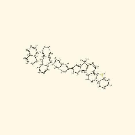 CC1(C)c2cc(-c3ccc4cc(-c5c6ccccc6c(-c6cccc7ccccc67)c6ccccc56)ccc4c3)ccc2-c2c1ccc1c2ccc2c3ccccc3sc12